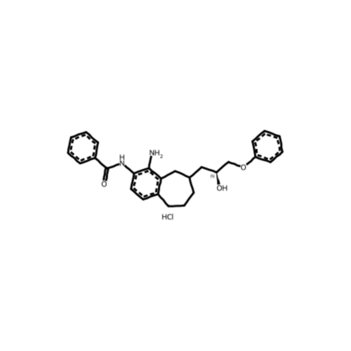 Cl.Nc1c(NC(=O)c2ccccc2)ccc2c1CC(C[C@H](O)COc1ccccc1)CCC2